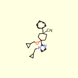 N#C[C@]1(c2ccccc2)CC[C@@](OCC2CC2)(c2nccn2CC2CC2)CC1